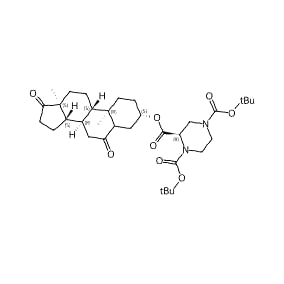 CC(C)(C)OC(=O)N1CCN(C(=O)OC(C)(C)C)[C@@H](C(=O)O[C@H]2CC[C@@]3(C)C(C2)C(=O)C[C@@H]2[C@@H]3CC[C@]3(C)C(=O)CC[C@@H]23)C1